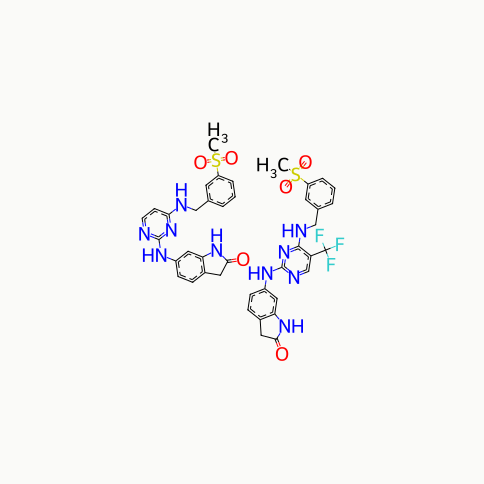 CS(=O)(=O)c1cccc(CNc2ccnc(Nc3ccc4c(c3)NC(=O)C4)n2)c1.CS(=O)(=O)c1cccc(CNc2nc(Nc3ccc4c(c3)NC(=O)C4)ncc2C(F)(F)F)c1